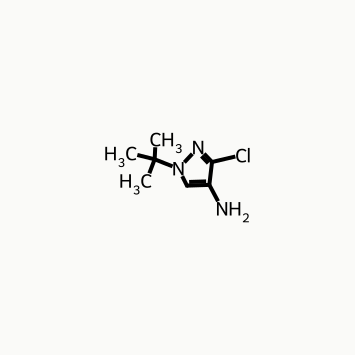 CC(C)(C)n1cc(N)c(Cl)n1